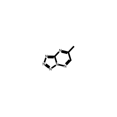 Cc1cnn2nnnc2n1